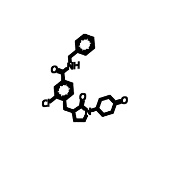 O=C1CCC(N2CCC(Cc3ccc(C(=O)NCc4ccccc4)cc3Cl)C2=O)CC1